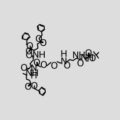 CC(CCC(=O)OCc1ccccc1)NC(=O)C(CCC(=O)NC(CCC(=O)OCc1ccccc1)C(=O)OCc1ccccc1)NC(=O)COCCOCCNC(=O)CCC(N)C(=O)NCC(=O)OC(C)(C)C